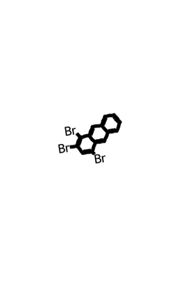 Brc1cc(Br)c2cc3ccccc3cc2c1Br